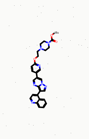 CC(C)(C)OC(=O)N1CCN(CCOc2ccc(-c3cnc4c(-c5ccnc6ccccc56)cnn4c3)cn2)CC1